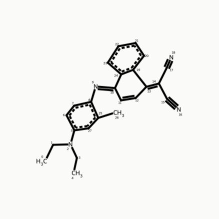 CCN(CC)c1ccc(/N=C2\C=CC(=C(C#N)C#N)c3ccccc32)c(C)c1